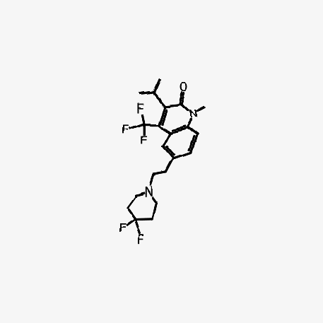 CC(C)c1c(C(F)(F)F)c2cc(CCN3CCC(F)(F)CC3)ccc2n(C)c1=O